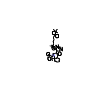 C[C@H](CCCCC(=O)OC(C)(C)C)Oc1ncnc2oc(-c3ccccc3)c(/C=C/C(=O)O)c12